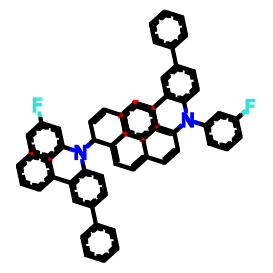 Fc1cccc(N(C2=C3C=CC4=C5C(=CC=C(C=C2)C35)C(N(c2cccc(F)c2)c2ccc(-c3ccccc3)cc2-c2ccccc2)C=C4)c2ccc(-c3ccccc3)cc2-c2ccccc2)c1